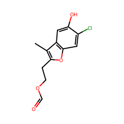 Cc1c(CCOC=O)oc2cc(Cl)c(O)cc12